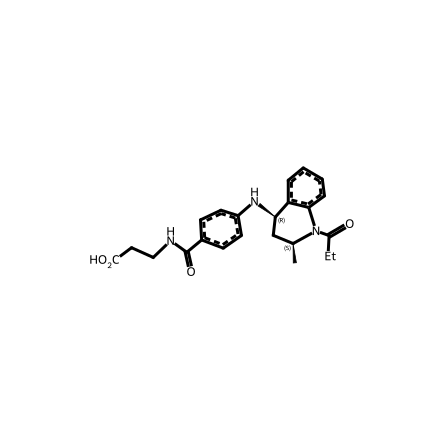 CCC(=O)N1c2ccccc2[C@H](Nc2ccc(C(=O)NCCC(=O)O)cc2)C[C@@H]1C